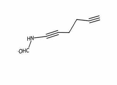 C#CCCC#CN[C]=O